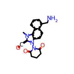 CN1C(=C=O)N(N2C(=O)CCCC2=O)c2ccc3c(CN)cccc3c21